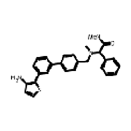 CNC(=O)C(c1ccccc1)N(C)Cc1ccc(-c2cccc(-c3sccc3N)c2)cc1